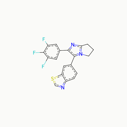 Fc1cc(-c2nc3n(c2-c2ccc4ncsc4c2)CCC3)cc(F)c1F